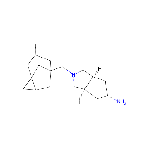 CC1CC2(CN3C[C@H]4C[C@H](N)C[C@H]4C3)CC3CC3(C1)C2